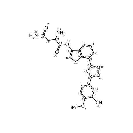 CC(C)Oc1ccc(-c2nc(-c3cccc4c3CC=C4OC(=O)C(N)CC(N)=O)no2)cc1C#N